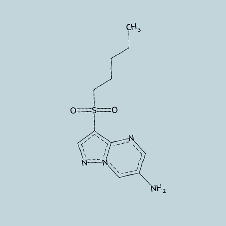 CCCCCS(=O)(=O)c1cnn2cc(N)cnc12